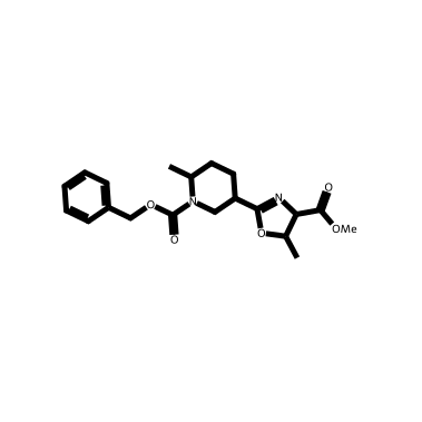 COC(=O)C1N=C(C2CCC(C)N(C(=O)OCc3ccccc3)C2)OC1C